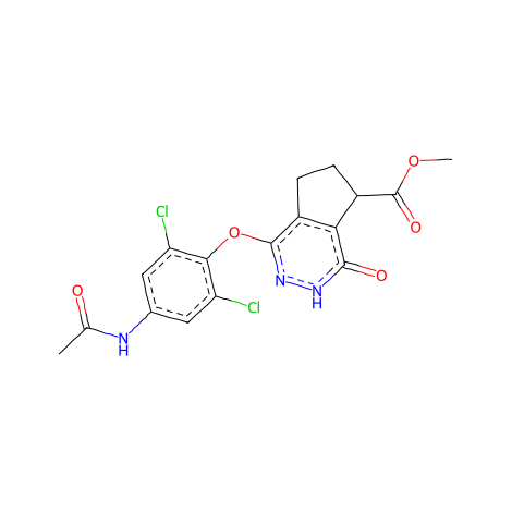 COC(=O)C1CCc2c(Oc3c(Cl)cc(NC(C)=O)cc3Cl)n[nH]c(=O)c21